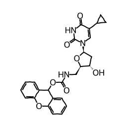 O=C(NC[C@H]1O[C@@H](n2cc(C3CC3)c(=O)[nH]c2=O)C[C@@H]1O)OC1c2ccccc2Oc2ccccc21